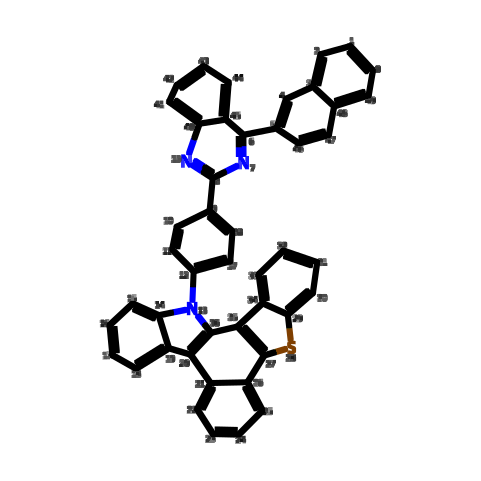 c1ccc2cc(-c3nc(-c4ccc(-n5c6ccccc6c6c7ccccc7c7sc8ccccc8c7c65)cc4)nc4ccccc34)ccc2c1